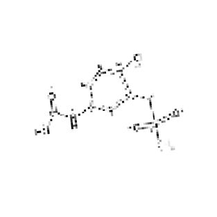 CS(=O)(=O)Cc1cc(NC(=O)O)ccc1Cl